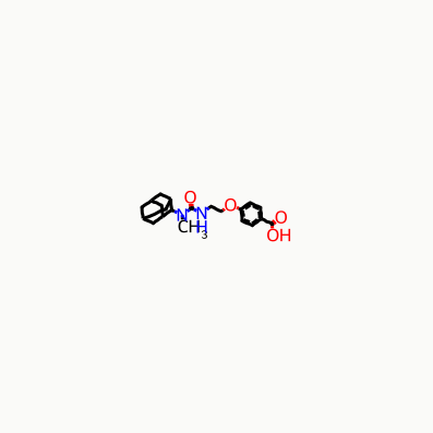 CN(C(=O)NCCOc1ccc(C(=O)O)cc1)C1C2CC3CC(C2)CC1C3